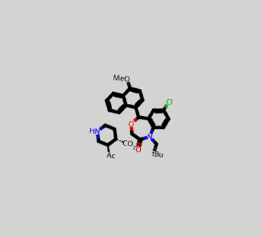 CC(=O)[C@H]1CNCC[C@@H]1C(=O)O.COc1ccc(C2OCC(=O)N(CC(C)(C)C)c3ccc(Cl)cc32)c2ccccc12